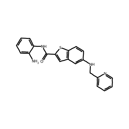 Nc1ccccc1NC(=O)c1cc2cc(NCc3ccccn3)ccc2s1